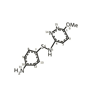 COc1ccc(NSc2ccc(N)cc2)nn1